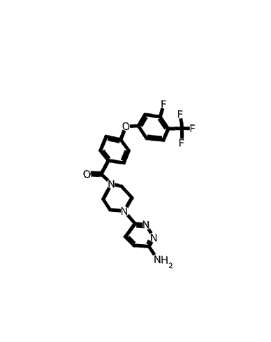 Nc1ccc(N2CCN(C(=O)c3ccc(Oc4ccc(C(F)(F)F)c(F)c4)cc3)CC2)nn1